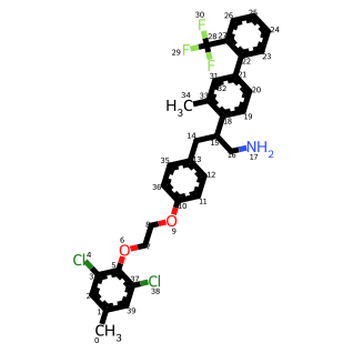 Cc1cc(Cl)c(OCCOc2ccc(CC(CN)c3ccc(-c4ccccc4C(F)(F)F)cc3C)cc2)c(Cl)c1